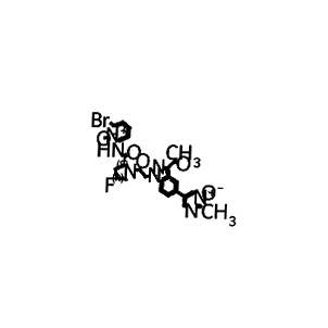 CC(=O)c1nn(CC(=O)N2C[C@H](F)C[C@H]2C(=O)Nc2cccc(Br)[n+]2[O-])c2ccc(-c3cnc(C)[n+]([O-])c3)cc12